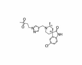 C[C@H]1C[C@@]2(CCN1Cc1cnn(CCS(C)(=O)=O)c1)C(=O)Nc1ccc(Cl)cc12